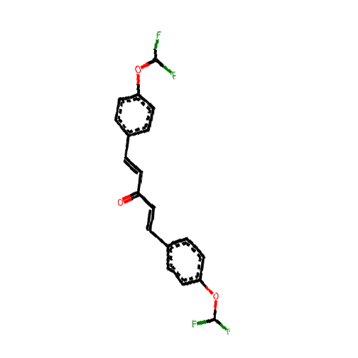 O=C(/C=C/c1ccc(OC(F)F)cc1)/C=C/c1ccc(OC(F)F)cc1